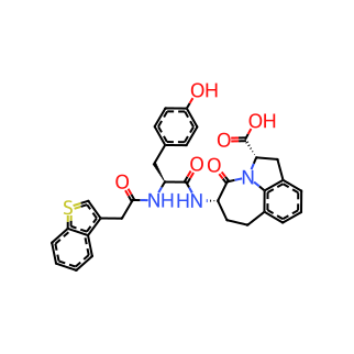 O=C(Cc1csc2ccccc12)N[C@@H](Cc1ccc(O)cc1)C(=O)N[C@H]1CCc2cccc3c2N(C1=O)[C@H](C(=O)O)C3